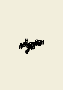 CCc1c(N2CCN(C(=O)c3nccc(Cl)c3O)CC2)c(=O)n2nc(C3=CCOCC3)nc2n1CC(=O)Nc1ccc(C(F)(F)F)c(F)c1C